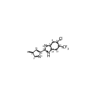 C=C1C=NC(c2nc3cc(Cl)c(C(F)(F)F)cc3[nH]2)=C1